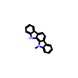 Cn1c2ccccc2c2ccc3c4ccccc4[nH]c3c21